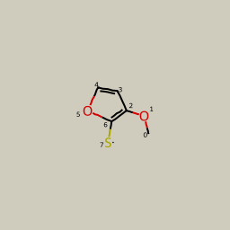 COc1ccoc1[S]